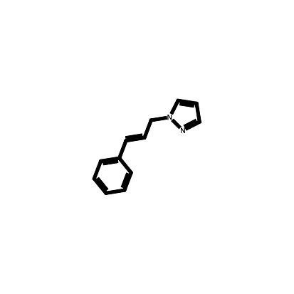 C(=Cc1ccccc1)Cn1cccn1